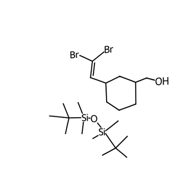 CC(C)(C)[Si](C)(C)O[Si](C)(C)C(C)(C)C.OCC1CCCC(C=C(Br)Br)C1